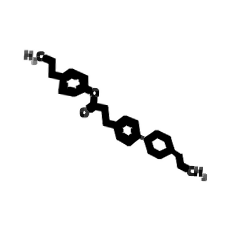 CCCc1ccc(OC(=O)CCc2ccc([C@H]3CC[C@H](CCC)CC3)cc2)cc1